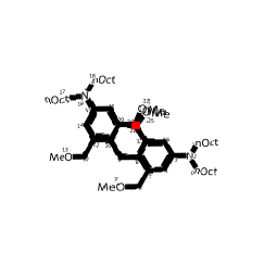 CCCCCCCCN(CCCCCCCC)c1cc(COC)c(Cc2c(COC)cc(N(CCCCCCCC)CCCCCCCC)cc2COC)c(COC)c1